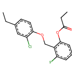 CCC(=O)Oc1cccc(F)c1COc1ccc(CC)cc1Cl